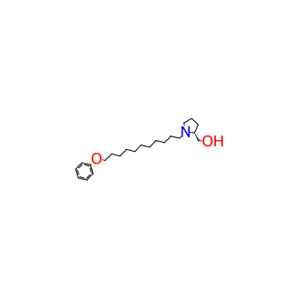 OC[C@@H]1CCCN1CCCCCCCCCCCOc1ccccc1